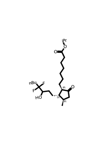 CCCCC(F)(F)C(O)CC[C@H]1[C@H](C)CC(=O)[C@@H]1CCCCCCC(=O)OC(C)C